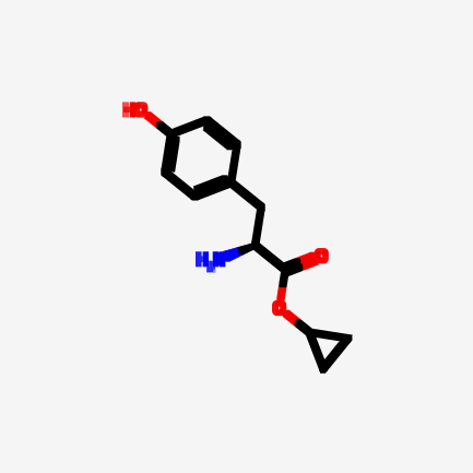 N[C@@H](Cc1ccc(O)cc1)C(=O)OC1CC1